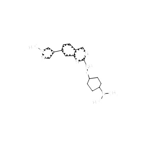 CN(C)C1CCC(CNc2ncc3ccc(-c4cnn(C)c4)cc3n2)CC1